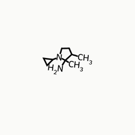 CC1CCN(C2CC2)C1(C)N